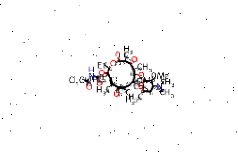 CC[C@H]1OC(=O)[C@H](C)C(=O)[C@H](C)[C@@H](O[C@@H]2O[C@H](C)C[C@H](N(C)C)[C@H]2OC)[C@](C)(OC)C[C@](C)(F)C(=O)/C(C)=C/[C@]1(C)OC(=O)NC(=O)C(Cl)(Cl)Cl